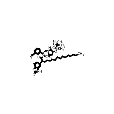 CCCCCCCCCCCCCCC(C(=O)N(C)[C@H](CN1CC[C@H](O[Si](C)(C)C(C)(C)C)C1)c1cccc(C#N)c1)c1ccc2sc(=O)[nH]c2c1